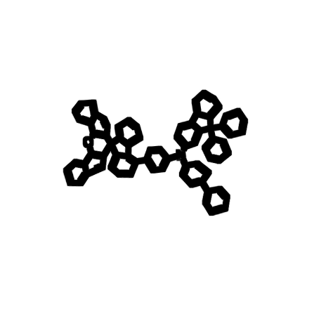 c1ccc(-c2ccc(N(c3ccc(-c4cccc5c4-c4ccccc4C54c5ccc6ccccc6c5Oc5c4ccc4ccccc54)cc3)c3ccc4c(c3)C(c3ccccc3)(c3ccccc3)c3ccccc3-4)cc2)cc1